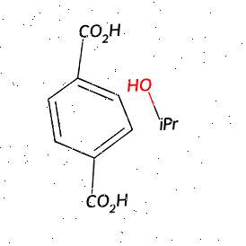 CC(C)O.O=C(O)c1ccc(C(=O)O)cc1